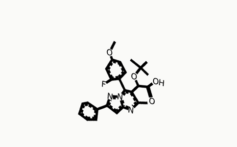 COc1ccc(-c2c(C(OC(C)(C)C)C(=O)O)c(C)nc3cc(-c4ccccc4)nn23)c(F)c1